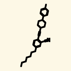 CCCCCCCc1ccc(C#CC2CCC(c3ccc(C)cc3)CC2)c(C#N)c1